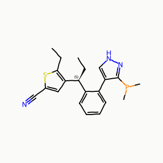 CCc1sc(C#N)cc1[C@@H](CC)c1ccccc1-c1c[nH]nc1P(C)C